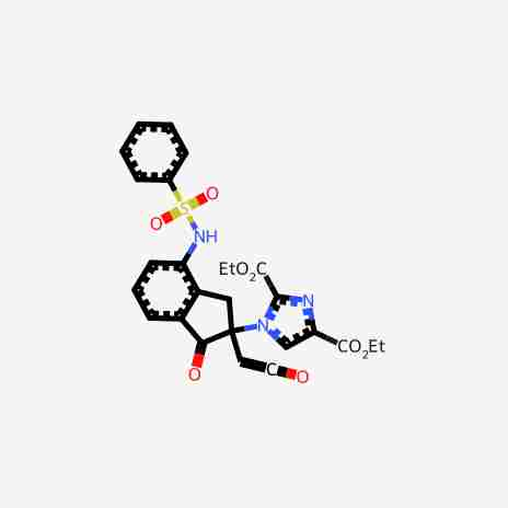 CCOC(=O)c1cn(C2(C=C=O)Cc3c(NS(=O)(=O)c4ccccc4)cccc3C2=O)c(C(=O)OCC)n1